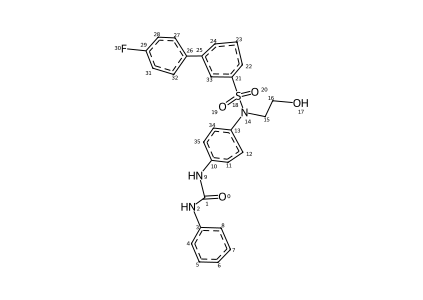 O=C(Nc1ccccc1)Nc1ccc(N(CCO)S(=O)(=O)c2cccc(-c3ccc(F)cc3)c2)cc1